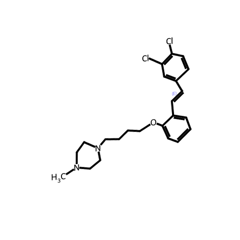 CN1CCN(CCCCOc2ccccc2/C=C/c2ccc(Cl)c(Cl)c2)CC1